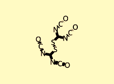 O=C=NC(N=C=O)SSC(N=C=O)N=C=O